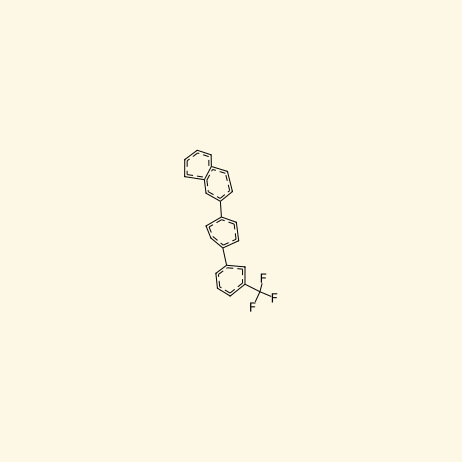 FC(F)(F)c1cccc(-c2ccc(-c3ccc4ccccc4c3)cc2)c1